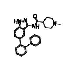 CN1CCC(C(=O)Nc2n[nH]c3ccc(-c4ccccc4-c4ccccc4)cc23)CC1